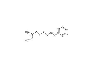 CCC(C)OCCOOCc1ccccc1